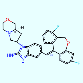 N=c1[nH]c2cc(/C=C3/c4ccc(F)cc4OCc4c(F)cccc43)ccc2n1C1C[C@@H]2COCCN2C1